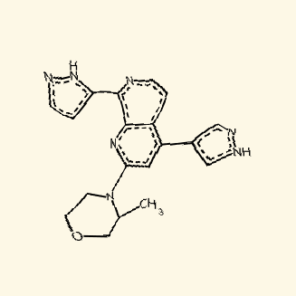 CC1COCCN1c1cc(-c2cn[nH]c2)c2ccnc(-c3ccn[nH]3)c2n1